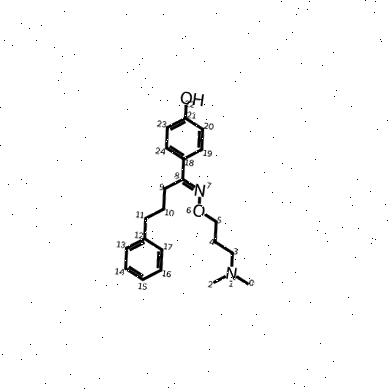 CN(C)CCCON=C(CCCc1ccccc1)c1ccc(O)cc1